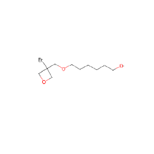 CCC1(COCCCCCC[O])COC1